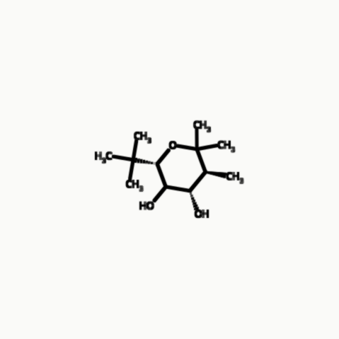 C[C@H]1[C@H](O)C(O)[C@H](C(C)(C)C)OC1(C)C